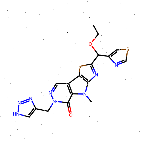 CCOC(c1cscn1)c1nc2c(s1)c1cnn(Cc3c[nH]nn3)c(=O)c1n2C